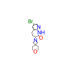 O=C1Nc2ncc(Br)cc2CCC1N1CC2(CCOCC2)C1